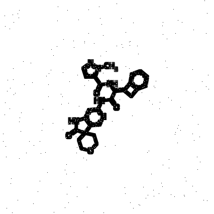 Cn1nccc1C(=O)NC(C(=O)Nc1cc2c(cn1)C1(CCOCC1)C(=O)N2)=C1Cc2ccccc21